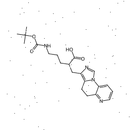 CC(C)(C)OC(=O)NCCCC(Cc1ncn2c1CCc1ncccc1-2)C(=O)O